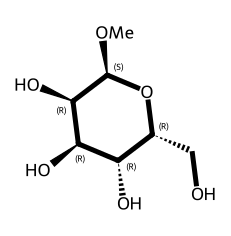 CO[C@H]1O[C@H](CO)[C@H](O)[C@@H](O)[C@H]1O